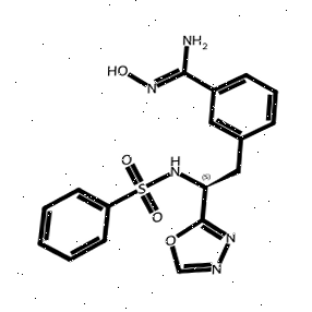 NC(=NO)c1cccc(C[C@H](NS(=O)(=O)c2ccccc2)c2nnco2)c1